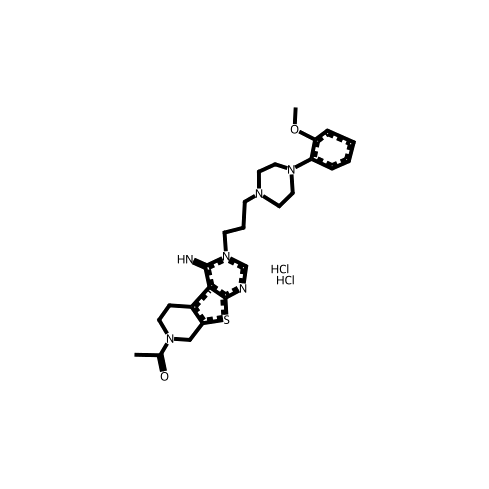 COc1ccccc1N1CCN(CCCn2cnc3sc4c(c3c2=N)CCN(C(C)=O)C4)CC1.Cl.Cl